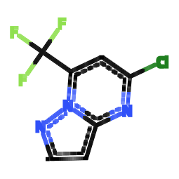 FC(F)(F)c1cc(Cl)nc2c[c]nn12